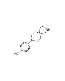 N#Cc1ccc(N2CCC3(CCNC3)CC2)cc1